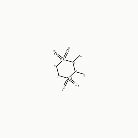 CC1C(C)S(=O)(=O)CCS1(=O)=O